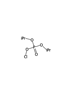 CC(C)OP(=O)(OCl)OC(C)C